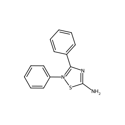 Nc1nc(-c2ccccc2)[n+](-c2ccccc2)s1